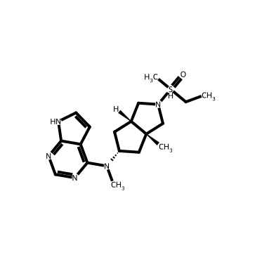 CC[SH](C)(=O)N1C[C@H]2C[C@@H](N(C)c3ncnc4[nH]ccc34)C[C@@]2(C)C1